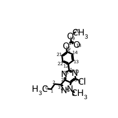 CCCc1nn(C)c2c(Cl)nc(-c3ccc(OC(=O)OC)cc3)nc12